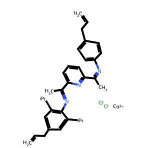 C=CCc1ccc(N=C(C)c2cccc(C(C)=Nc3c(C(C)C)cc(CC=C)cc3C(C)C)n2)cc1.[Cl-].[Cl-].[Co+2]